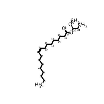 CCCCCCCC/C=C\CCCCCCCC(=O)OC(CC)OC